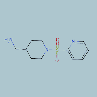 NCC1CCN(S(=O)(=O)c2ccccn2)CC1